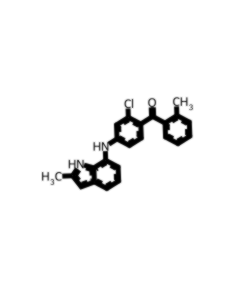 Cc1cc2cccc(Nc3ccc(C(=O)c4ccccc4C)c(Cl)c3)c2[nH]1